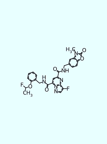 CC(F)Oc1ccccc1CNC(=O)c1cc(C(=O)NCc2ccc3oc(=O)n(C)c3c2)nc2c(F)cnn12